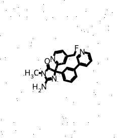 CN1C(=O)C(c2cccc(-c3cccnc3)c2)(c2cc(CF)ccn2)N=C1N